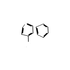 CC(C)c1ccncc1.Cl.c1ccccc1